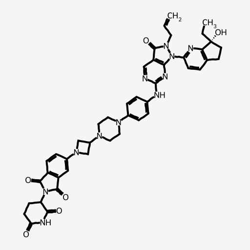 C=CCn1c(=O)c2cnc(Nc3ccc(N4CCN(C5CN(c6ccc7c(c6)C(=O)N(C6CCC(=O)NC6=O)C7=O)C5)CC4)cc3)nc2n1-c1ccc2c(n1)[C@@](O)(CC)CC2